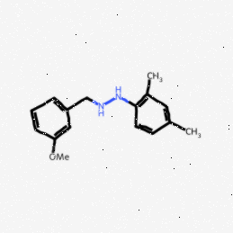 COc1cccc(CNNc2ccc(C)cc2C)c1